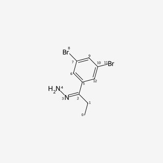 CC/C(=N/N)c1cc(Br)cc(Br)c1